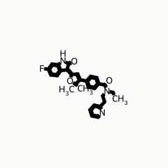 CCN(CCc1ccccn1)C(=O)c1ccc(C2=C/C(=C3\C(=O)Nc4cc(F)ccc43)OC2(C)C)cc1